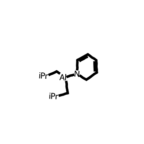 CC(C)[CH2][Al]([CH2]C(C)C)[N]1C=CC=CC1